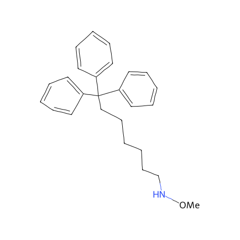 CONCCCCCCC(c1ccccc1)(c1ccccc1)c1ccccc1